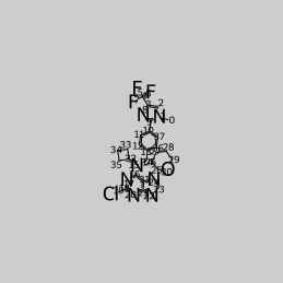 Cn1cc(C(F)(F)F)nc1-c1ccc(CN(c2nc(Cl)nc3ncn(C4CCCCO4)c23)C2CCC2)cc1